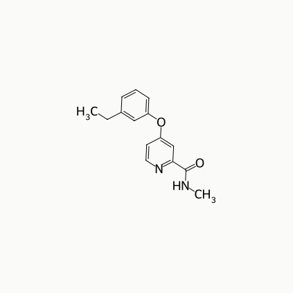 CCc1cccc(Oc2ccnc(C(=O)NC)c2)c1